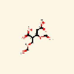 O=COCC(C(=O)O)C(CC(=O)O)OC=O